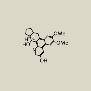 COc1cc2c3c(c4ncc(O)cc4c2cc1OC)[C@@H](O)[C@H]1CCCC1C3